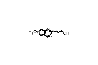 CN1Cc2cnc(OCCO)nc2C1